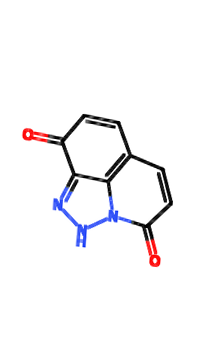 O=c1ccc2ccc(=O)n3[nH]nc1c23